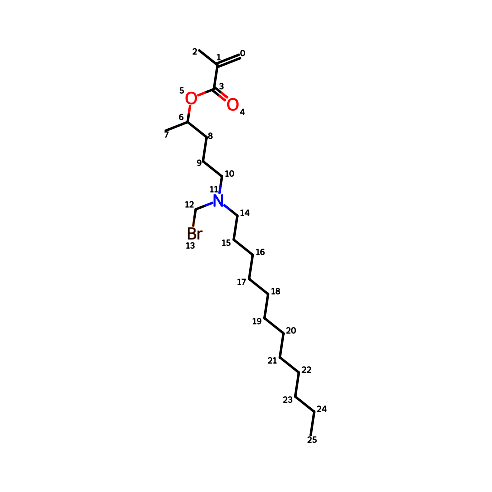 C=C(C)C(=O)OC(C)CCCN(CBr)CCCCCCCCCCCC